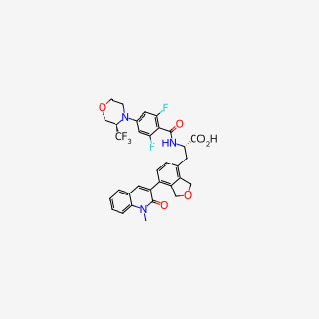 Cn1c(=O)c(-c2ccc(C[C@H](NC(=O)c3c(F)cc(N4CCOC[C@@H]4C(F)(F)F)cc3F)C(=O)O)c3c2COC3)cc2ccccc21